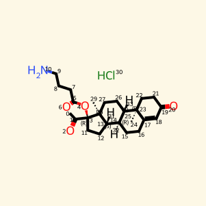 CC(=O)[C@@]1(OC(=O)CCCN)CC[C@H]2[C@@H]3CCC4=CC(=O)CC[C@]4(C)[C@H]3CC[C@@]21C.Cl